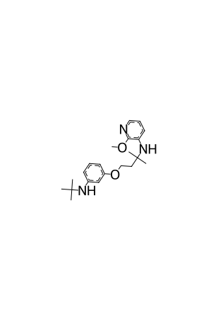 COc1ncccc1NC(C)(C)CCOc1cccc(NC(C)(C)C)c1